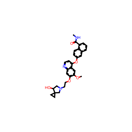 CNC(=O)c1cccc2cc(Oc3ccnc4cc(OCCN5CC(O)C6(CC6)C5)c(OC)cc34)ccc12